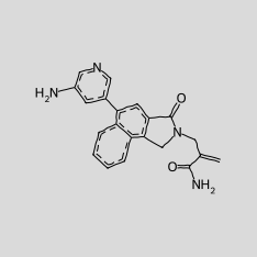 C=C(CN1Cc2c(cc(-c3cncc(N)c3)c3ccccc23)C1=O)C(N)=O